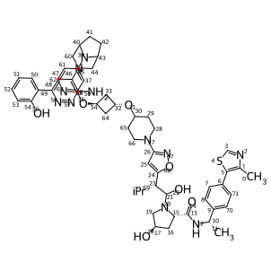 Cc1ncsc1-c1ccc([C@H](C)NC(=O)[C@@H]2C[C@@H](O)CN2C(O)[C@@H](c2cc(N3CCC(O[C@H]4C[C@H](Oc5cc(N6C7CCC6CN(c6cc(-c8ccccc8O)nnc6N)C7)ccn5)C4)CC3)no2)C(C)C)cc1